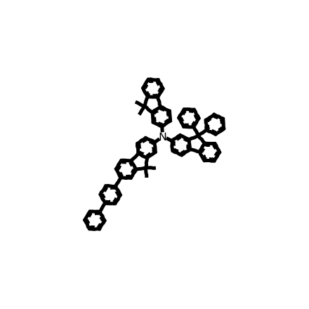 CC1(C)c2ccccc2-c2ccc(N(c3ccc4c(c3)C(C)(C)c3cc(-c5ccc(-c6ccccc6)cc5)ccc3-4)c3ccc4c(c3)C(c3ccccc3)(c3ccccc3)c3ccccc3-4)cc21